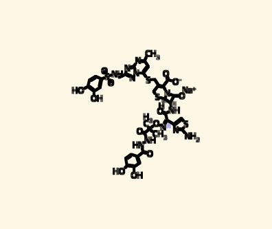 Cc1cc(SCC2=C(C(=O)[O-])N3C(=O)[C@@H](NC(=O)/C(=N\OC(C)(C)C(=O)NNC(=O)c4ccc(O)c(O)c4)c4csc(N)n4)[C@H]3SC2)n2nc(CNS(=O)(=O)c3ccc(O)c(O)c3)nc2n1.[Na+]